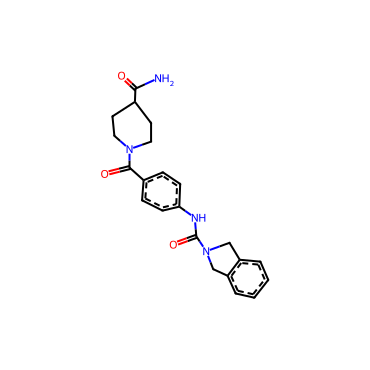 NC(=O)C1CCN(C(=O)c2ccc(NC(=O)N3Cc4ccccc4C3)cc2)CC1